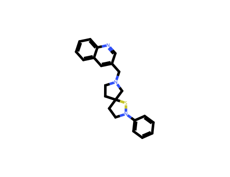 c1ccc(N2CCC3(CCN(Cc4cnc5ccccc5c4)C3)S2)cc1